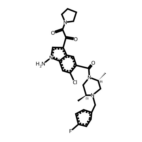 C[C@@H]1CN(Cc2ccc(F)cc2)[C@@H](C)CN1C(=O)c1cc2c(C(=O)C(=O)N3CCCC3)cn(N)c2cc1Cl